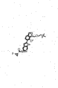 COc1c(-c2cc3cc(NC(=O)[C@@H]4C[C@@H]4F)ncc3n2C)ccc2cnn(COCC[Si](C)(C)C)c12